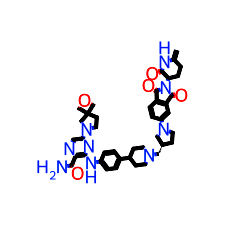 C=C1CCC(N2C(=O)c3ccc(N4CC[C@H](CN5CCC(c6ccc(Nc7nc(N8CCC9(COC9)C8)cnc7C(N)=O)cc6)CC5)C4)cc3C2=O)C(=O)N1